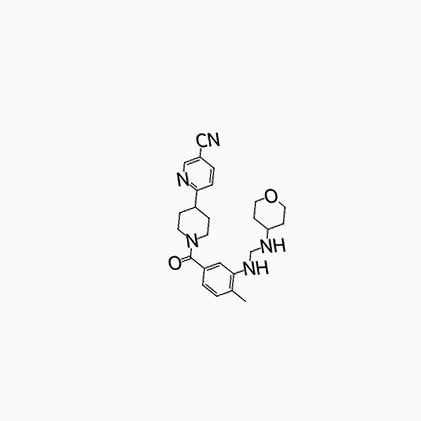 Cc1ccc(C(=O)N2CCC(c3ccc(C#N)cn3)CC2)cc1NCNC1CCOCC1